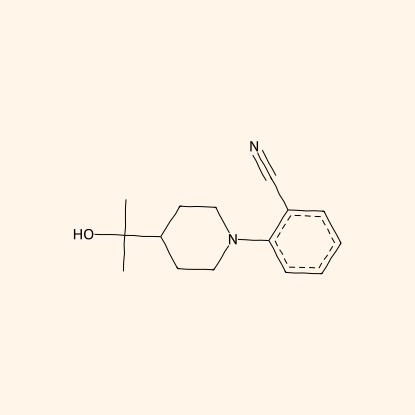 CC(C)(O)C1CCN(c2ccccc2C#N)CC1